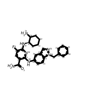 NC(=O)c1cc(F)c(N[C@@H]2CCCCC2N)nc1Nc1ccc2c(cnn2Cc2ccccc2)c1